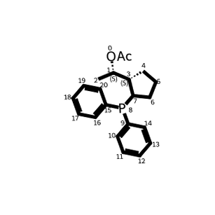 CC(=O)O[C@@H](C)[C@@H]1CCCC1P(c1ccccc1)c1ccccc1